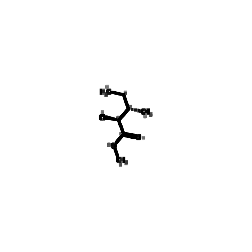 CC[C@H](C)[C@H](Cl)C(=O)OC